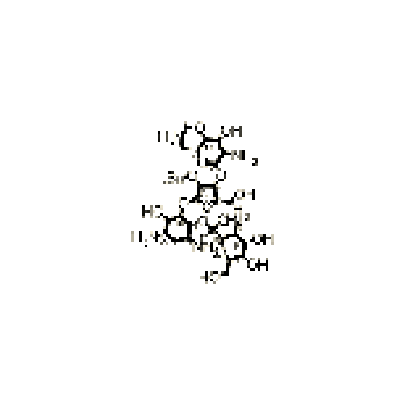 CC(C)(C)O[C@@H]1C(O[C@@H]2C(O)[C@H](N)CC(N)[C@H]2OC(C)(C)[C@@H]2OC(CO)[C@@H](O)[C@H](O)C2N)O[C@H](CO)[C@@H]1O[C@H]1O[C@@H](CN)[C@@H](O)C(O)C1N